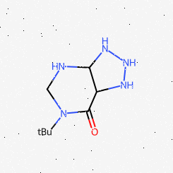 CC(C)(C)N1CNC2NNNC2C1=O